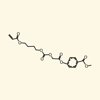 C=CC(=O)OCCCCOC(=O)OCC(=O)Oc1ccc(C(=O)OC)cc1